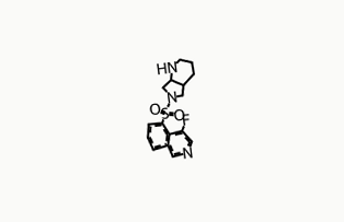 O=S(=O)(c1cccc2cncc(F)c12)N1CC2CCCNC2C1